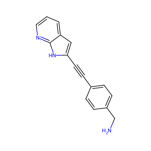 NCc1ccc(C#Cc2cc3cccnc3[nH]2)cc1